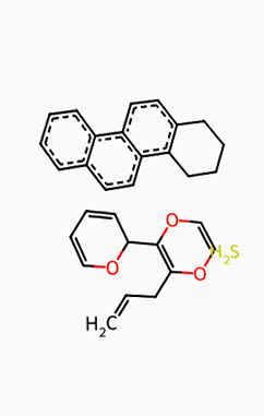 C=CCC1=C(C2C=CC=CO2)OC=CO1.S.c1ccc2c(c1)ccc1c3c(ccc12)CCCC3